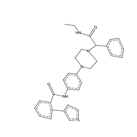 CCNC(=O)C(c1ccccc1)N1CCN(c2ccc(NC(=O)c3ccccc3-c3ccsc3)cc2)CC1